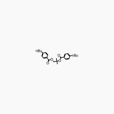 CCCCc1ccc(C(=O)OCC(C)(C)OC(=O)c2ccc(CCCC)cc2)cc1